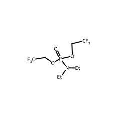 CCN(CC)P(=O)(OCC(F)(F)F)OCC(F)(F)F